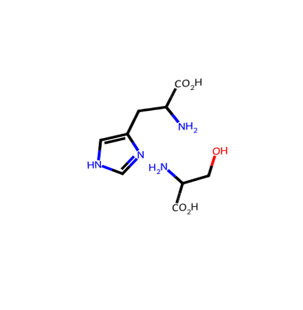 NC(CO)C(=O)O.NC(Cc1c[nH]cn1)C(=O)O